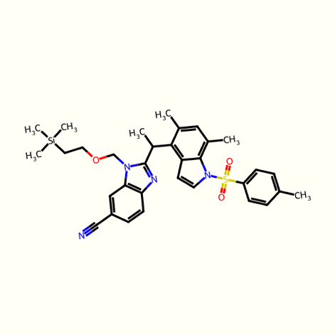 Cc1ccc(S(=O)(=O)n2ccc3c(C(C)c4nc5ccc(C#N)cc5n4COCC[Si](C)(C)C)c(C)cc(C)c32)cc1